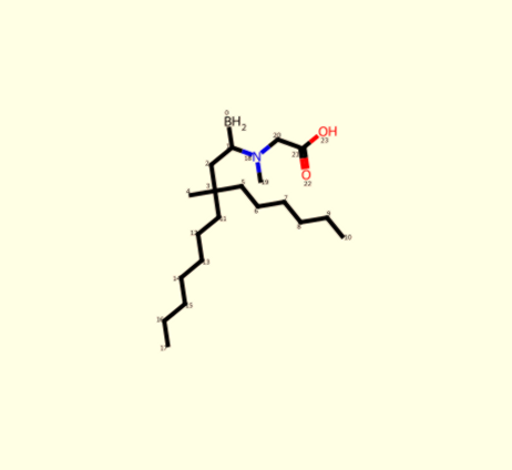 BC(CC(C)(CCCCCC)CCCCCCC)N(C)CC(=O)O